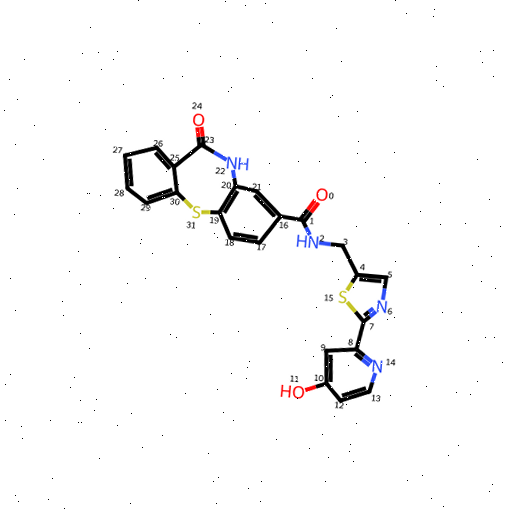 O=C(NCc1cnc(-c2cc(O)ccn2)s1)c1ccc2c(c1)NC(=O)c1ccccc1S2